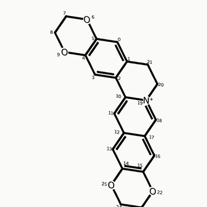 c1c2c(cc3c1OCCO3)-c1cc3cc4c(cc3c[n+]1CC2)OCCO4